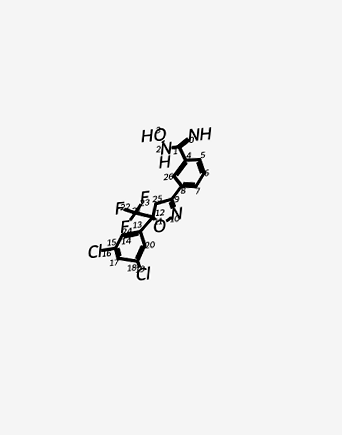 N=C(NO)c1cccc(C2=NOC(c3cc(Cl)cc(Cl)c3)(C(F)(F)F)C2)c1